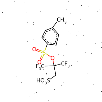 Cc1ccc(S(=O)(=O)OC(CS(=O)(=O)O)(C(F)(F)F)C(F)(F)F)cc1